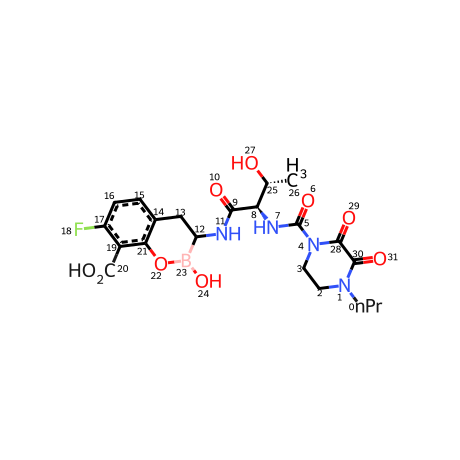 CCCN1CCN(C(=O)N[C@@H](C(=O)NC2Cc3ccc(F)c(C(=O)O)c3OB2O)[C@@H](C)O)C(=O)C1=O